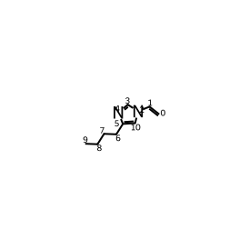 C=Cn1cnc(CCCC)c1